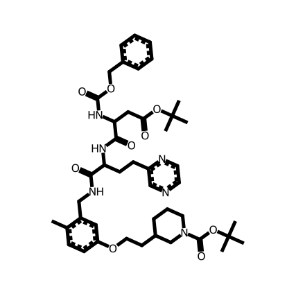 Cc1ccc(OCCC2CCCN(C(=O)OC(C)(C)C)C2)cc1CNC(=O)C(CCc1cnccn1)NC(=O)C(CC(=O)OC(C)(C)C)NC(=O)OCc1ccccc1